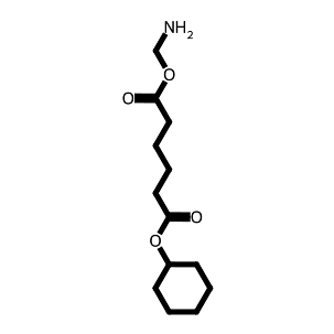 NCOC(=O)CCCCC(=O)OC1CCCCC1